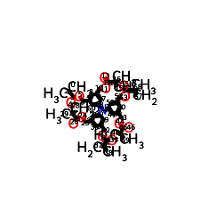 C=C(C)C(=O)OCc1cc(COC(=O)C(=C)C)cc(N(c2cc(COC(=O)C(=C)C)cc(COC(=O)C(=C)C)c2)c2cc(COC(=O)C(=C)C)cc(COC(=O)C(=C)C)c2)c1